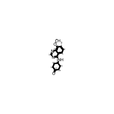 COc1cccc2c(NC3CCC(=O)CC3)ncnc12